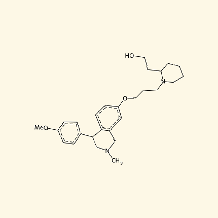 COc1ccc(C2CN(C)Cc3cc(OCCCN4CCCCC4CCO)ccc32)cc1